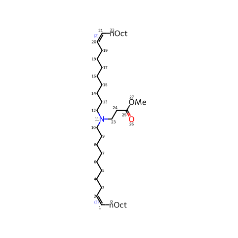 CCCCCCCC/C=C\CCCCCCCCN(CCCCCCCC/C=C\CCCCCCCC)CCC(=O)OC